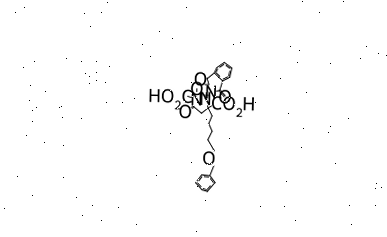 O=C1c2ccccc2C(=O)N1N1C(CCCCCOCc2ccccc2)(C(=O)O)CC(=O)[N+]1([O-])C(=O)O